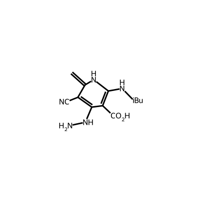 C=C1NC(NC(C)CC)=C(C(=O)O)C(NN)=C1C#N